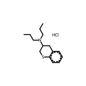 CCCN(CCC)C1CSc2ccccc2C1.Cl